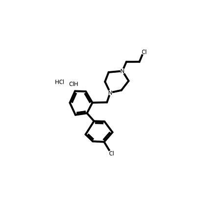 Cl.Cl.ClCCN1CCN(Cc2ccccc2-c2ccc(Cl)cc2)CC1